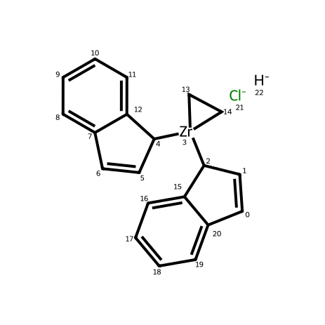 C1=C[CH]([Zr]2([CH]3C=Cc4ccccc43)[CH2][CH2]2)c2ccccc21.[Cl-].[H-]